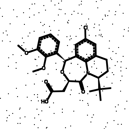 COc1cccc([C@H]2O[C@H](CC(=O)O)C(=O)N3c4c(cc(Cl)cc42)CC[C@H]3C(C)(C)C)c1OC